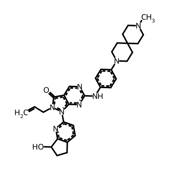 C=CCn1c(=O)c2cnc(Nc3ccc(N4CCC5(CCN(C)CC5)CC4)cc3)nc2n1-c1ccc2c(n1)C(O)CC2